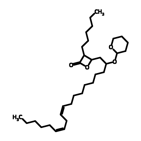 CCCCC/C=C\C/C=C\CCCCCCCC(CC1OC(=O)C1CCCCCC)OC1CCCCO1